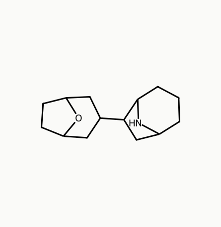 C1CC2CC(C3CC4CCC(C3)O4)C(C1)N2